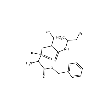 CC(C)CC(CP(=O)(O)C(N)C(=O)OCc1ccccc1)C(=O)NC(CC(C)C)C(=O)O